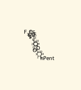 CCCCC[C@H]1CC[C@H](C(=O)Oc2ccc(CCC(F)(F)C(F)(F)C(F)(F)F)cc2)CC1